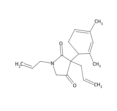 C=CCN1CC(=O)C(CC=C)(C2CC=C(C)C=C2C)C1=O